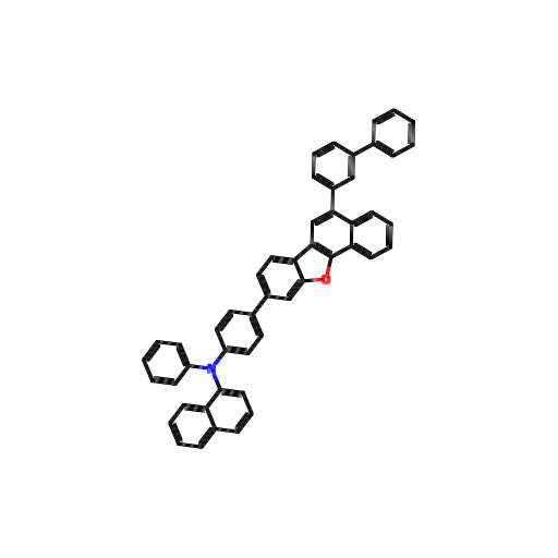 c1ccc(-c2cccc(-c3cc4c5ccc(-c6ccc(N(c7ccccc7)c7cccc8ccccc78)cc6)cc5oc4c4ccccc34)c2)cc1